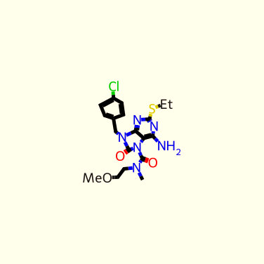 CCSc1nc(N)c2c(n1)n(Cc1ccc(Cl)cc1)c(=O)n2C(=O)N(C)CCOC